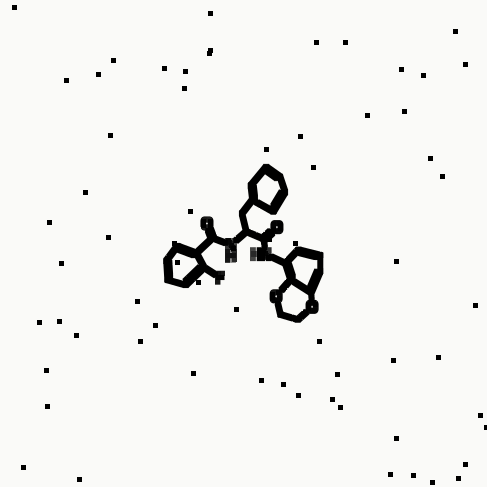 O=C(NC(Cc1ccccc1)C(=O)Nc1cccc2c1OCCO2)c1ccccc1F